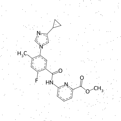 COC(=O)c1cccc(NC(=O)c2cc(-n3cnc(C4CC4)c3)c(C)cc2F)n1